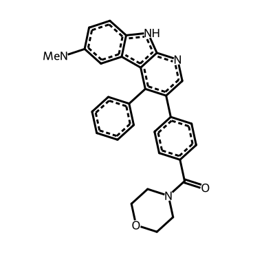 CNc1ccc2[nH]c3ncc(-c4ccc(C(=O)N5CCOCC5)cc4)c(-c4ccccc4)c3c2c1